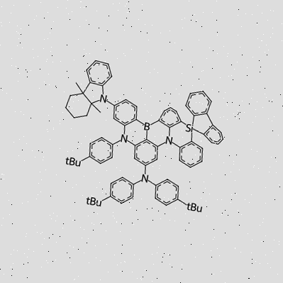 CC(C)(C)c1ccc(N(c2ccc(C(C)(C)C)cc2)c2cc3c4c(c2)N2c5ccccc5[Si]5(c6ccccc6-c6ccccc65)c5cccc(c52)B4c2ccc(N4c5ccccc5C5(C)CCCCC45C)cc2N3c2ccc(C(C)(C)C)cc2)cc1